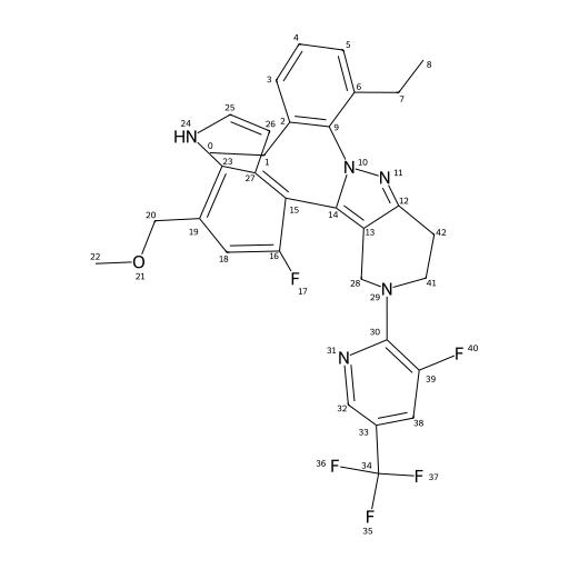 CCc1cccc(CC)c1-n1nc2c(c1-c1c(F)cc(COC)c3[nH]ccc13)CN(c1ncc(C(F)(F)F)cc1F)CC2